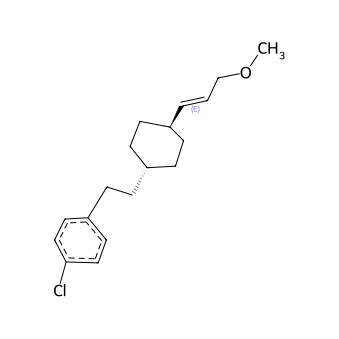 COC/C=C/[C@H]1CC[C@H](CCc2ccc(Cl)cc2)CC1